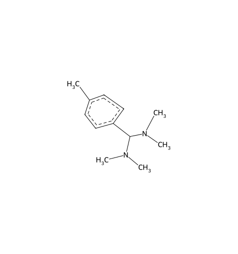 Cc1ccc(C(N(C)C)N(C)C)cc1